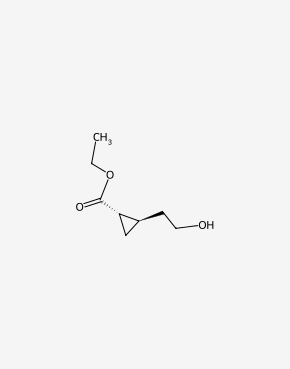 CCOC(=O)[C@H]1C[C@@H]1CCO